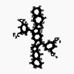 FC(F)(F)c1cc(C2=c3cc4c(cc3-c3sc5cc6ccccc6cc5c32)=C(c2cc(C(F)(F)F)cc(C(F)(F)F)c2)c2c-4sc3cc4ccccc4cc23)cc(C(F)(F)F)c1